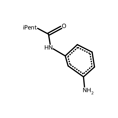 CCCC(C)C(=O)Nc1cccc(N)c1